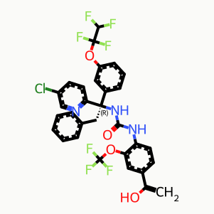 C=C(O)c1ccc(NC(=O)N[C@](Cc2ccccc2)(c2cccc(OC(F)(F)C(F)F)c2)c2ccc(Cl)cn2)c(OC(F)(F)F)c1